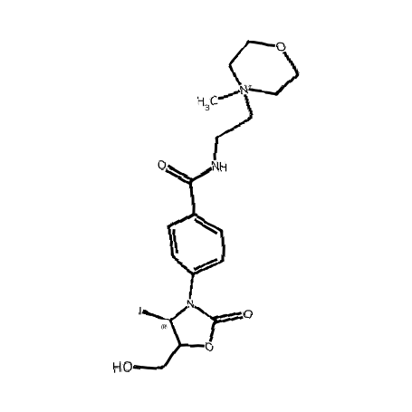 C[N+]1(CCNC(=O)c2ccc(N3C(=O)OC(CO)[C@H]3I)cc2)CCOCC1